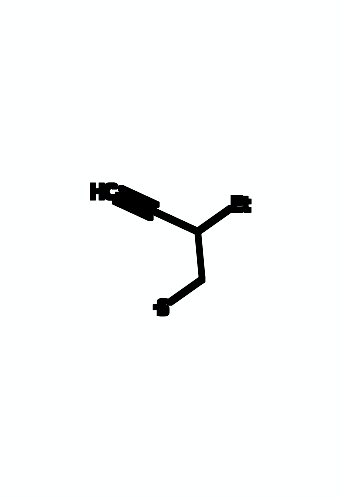 C#CC(CC)C[S]